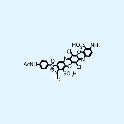 CC(=O)Nc1ccc(S(=O)(=O)c2cc3c(c(S(=O)(=O)O)c2N)Oc2c(Cl)c4c(c(Cl)c2=N3)Oc2c(ccc(N)c2S(=O)(=O)O)N=4)cc1